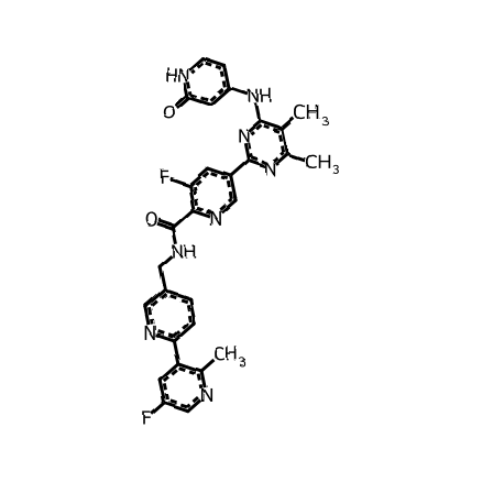 Cc1ncc(F)cc1-c1ccc(CNC(=O)c2ncc(-c3nc(C)c(C)c(Nc4cc[nH]c(=O)c4)n3)cc2F)cn1